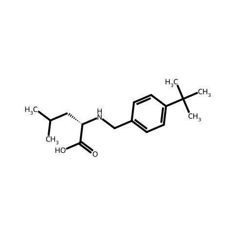 CC(C)C[C@H](NCc1ccc(C(C)(C)C)cc1)C(=O)O